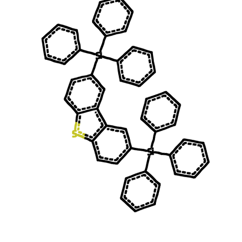 c1ccc([Si](c2ccccc2)(c2ccccc2)c2ccc3sc4ccc([Si](c5ccccc5)(c5ccccc5)c5ccccc5)cc4c3c2)cc1